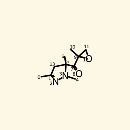 CC1=NN(C)C(C)(C(=O)C2(C)CO2)C1